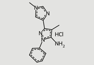 Cc1c(-c2cn(C)cn2)nn(-c2ccccc2)c1N.Cl